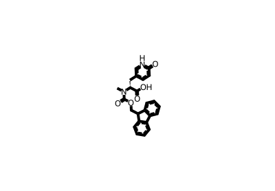 CN(C(=O)OCC1c2ccccc2-c2ccccc21)[C@H](Cc1ccc(=O)[nH]c1)C(=O)O